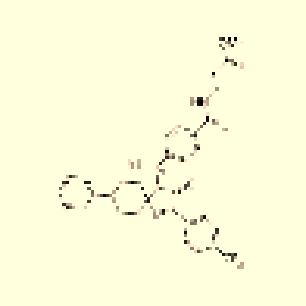 CC[C@H](c1ccc(C(=O)NCCC(=O)OC)cc1)N1C(=O)C(c2ccc(C(F)(F)F)cc2)=NC12CCC(c1ccccc1)CC2